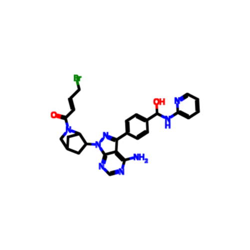 Nc1ncnc2c1c(-c1ccc(C(O)Nc3ccccn3)cc1)nn2C1CC2CC1N(C(=O)/C=C/CBr)C2